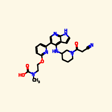 CN(CCOc1cccc(-c2cnc3[nH]ccc3c2NC2CCCN(C(=O)CC#N)C2)n1)C(=O)O